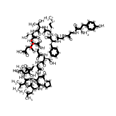 CSCC[C@H](NC(=O)[C@H](Cc1ccccc1)NC(=O)CNC(=O)CNC(=O)[C@@H](N)Cc1ccc(O)cc1)C(=O)N[C@H](C(=O)N[C@@H](CO)C(=O)N[C@@H](CCC(=O)O)C(=O)N[C@@H](CCCCN)C(=O)N[C@@H](CO)C(=O)N[C@@H](CCC(N)=O)C(=O)N[C@H](C(=O)N1CCC[C@H]1C(=O)N[C@@H](CC(C)C)C(=O)N[C@H](C(=O)N[C@H](C(=O)O)[C@@H](C)O)C(C)C)[C@@H](C)O)[C@@H](C)O